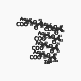 C=C(C)C(=O)OCCC(C(C)=O)C(=O)[O-].C=C(C)C(=O)OCCC(C(C)=O)C(=O)[O-].C=C(C)C(=O)OCCC(C(C)=O)C(=O)[O-].C=C(C)C(=O)OCCC(C(C)=O)C(=O)[O-].C=C(C)C(=O)OCCC(C(C)=O)C(=O)[O-].[Ta+5]